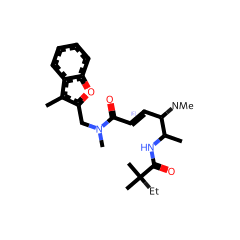 CCC(C)(C)C(=O)NC(C)C(/C=C/C(=O)N(C)Cc1oc2ccccc2c1C)NC